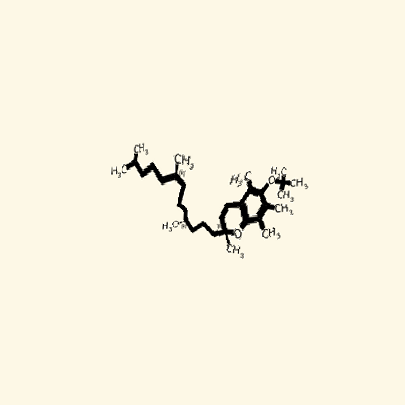 Cc1c(C)c2c(c(C)c1OC(C)(C)C)CC[C@@](C)(CCC[C@H](C)CCC[C@H](C)CCCC(C)C)O2